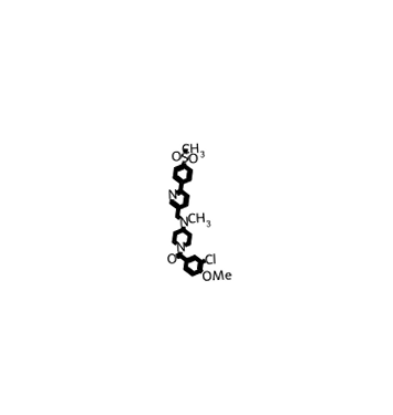 COc1ccc(C(=O)N2CCC(N(C)Cc3ccc(-c4ccc(S(C)(=O)=O)cc4)nc3)CC2)cc1Cl